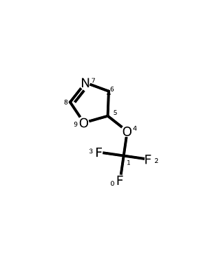 FC(F)(F)OC1[C]N=CO1